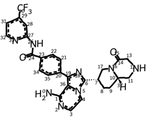 Nc1nccn2c([C@H]3CC[C@H]4CNCC(=O)N4C3)nc(-c3ccc(C(=O)Nc4cc(C(F)(F)F)ccn4)cc3)c12